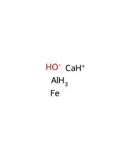 [AlH3].[CaH+].[Fe].[OH-]